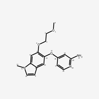 COCCOc1cc2c(ccn2C)cc1Oc1ccnc(N)c1